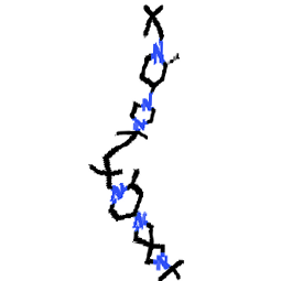 C[C@@H]1CC(N2CCN(C(C)(C)CCC(C)(C)CN3CCC(N4CC5(C4)CN(C(C)(C)C)C5)C[C@@H]3C)CC2)CCN1CC(C)(C)C